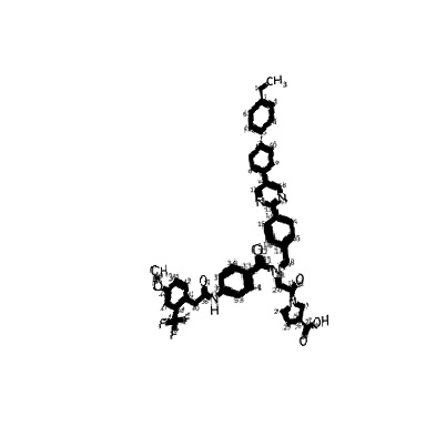 CC[C@H]1CC[C@H](C2CC=C(c3cnc(-c4ccc(CN(CC(=O)N5CC[C@H](C(=O)O)C5)C(=O)c5ccc(NC(=O)Cc6ccc(OC)cc6C(F)(F)F)cc5)cc4)nc3)CC2)CC1